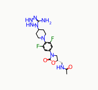 CC(=O)NC[C@H]1CN(c2cc(F)c(N3CCC(N4NNN=C4N)CC3)c(F)c2)C(=O)O1